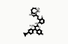 NC(C(=O)Nc1cccc(F)c1CCC1CNC2CCCS(=O)(=O)N1C2)C(c1ccc(F)cc1)c1ccc(C2CC2)cc1